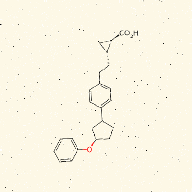 O=C(O)[C@@H]1C[C@H]1CCc1ccc(C2CC[C@@H](Oc3ccccc3)C2)cc1